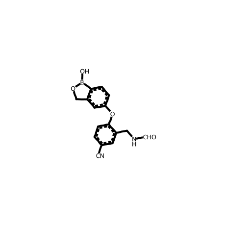 N#Cc1ccc(Oc2ccc3c(c2)COB3O)c(CNC=O)c1